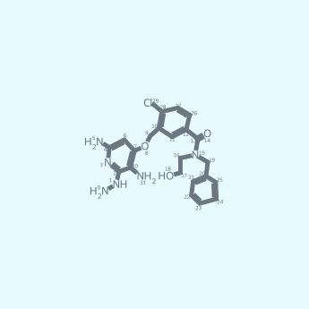 NNc1nc(N)cc(OCc2cc(C(=O)N(CCO)Cc3ccccc3)ccc2Cl)c1N